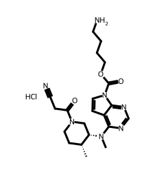 C[C@@H]1CCN(C(=O)CC#N)C[C@@H]1N(C)c1ncnc2c1ccn2C(=O)OCCCCN.Cl